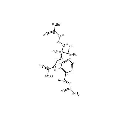 C/C(=C\C(N)=O)c1ccc(C(F)(F)P(=O)(OCOC(=O)C(C)(C)C)OCOC(=O)C(C)(C)C)cc1